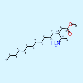 CCCCCCCCCCCCC(CC(=O)OC)C(C)N